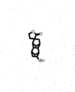 CC(C)(C)C1CC2CC1C1C3CC(C21)C1(CCOC1=O)C3